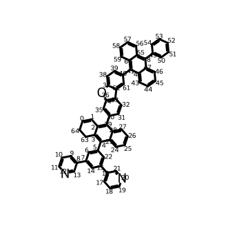 C1=Cc2c(c(-c3cc(-c4cccnc4)cc(-c4cccnc4)c3)c3ccccc3c2-c2ccc3c(c2)oc2ccc(-c4c5ccccc5c(-c5ccccc5)c5ccccc45)cc23)CC1